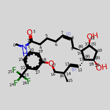 CNC(=O)CCC/C=C\C[C@@H]1[C@@H](/C=C/[C@@H](C)COc2cccc(C(F)(F)F)c2)[C@H](O)C[C@@H]1O